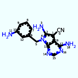 N#Cc1c(N)n(Cc2cccc(N)c2)c2ncnc(N)c12